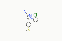 CSc1ccc(-c2cc(C#N)nn2-c2ccccc2Cl)cc1